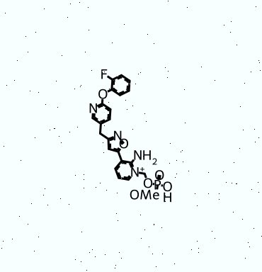 COP(=O)(O)OC[n+]1cccc(-c2cc(Cc3ccc(Oc4ccccc4F)nc3)no2)c1N